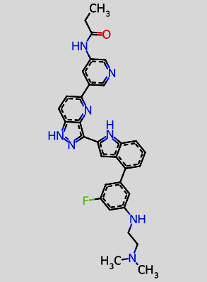 CCC(=O)Nc1cncc(-c2ccc3[nH]nc(-c4cc5c(-c6cc(F)cc(NCCN(C)C)c6)cccc5[nH]4)c3n2)c1